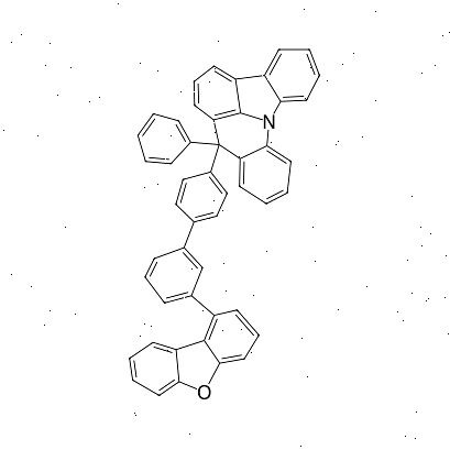 c1ccc(C2(c3ccc(-c4cccc(-c5cccc6oc7ccccc7c56)c4)cc3)c3ccccc3-n3c4ccccc4c4cccc2c43)cc1